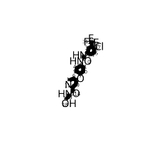 O=C(Nc1ccc(Oc2ccnc(C(=O)NCCO)c2)cc1)Nc1ccc(Cl)c(C(F)(F)F)c1